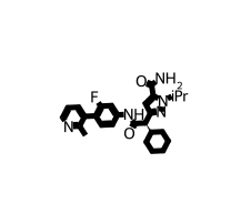 Cc1ncccc1-c1ccc(NC(=O)[C@H](c2cc(C(N)=O)n(C(C)C)n2)C2CCCCC2)cc1F